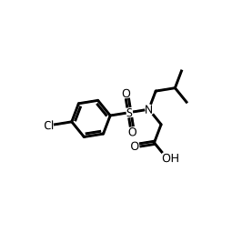 CC(C)CN(CC(=O)O)S(=O)(=O)c1ccc(Cl)cc1